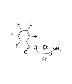 CCC(CC)(COC(=O)c1c(F)c(F)c(F)c(F)c1F)O[SiH3]